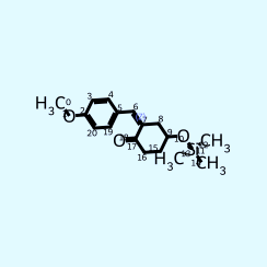 COc1ccc(/C=C2/CC(O[Si](C)(C)C)CCC2=O)cc1